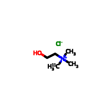 C[N+](C)([11CH3])CCO.[Cl-]